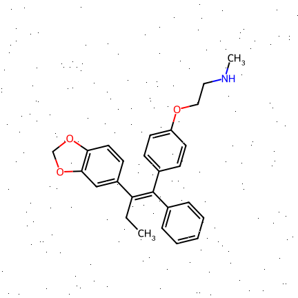 CCC(=C(c1ccccc1)c1ccc(OCCNC)cc1)c1ccc2c(c1)OCO2